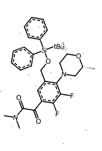 C[C@@H]1CN(c2c(CO[Si](c3ccccc3)(c3ccccc3)C(C)(C)C)cc(C(=O)C(=O)N(C)C)c(F)c2F)C[C@H](C)O1